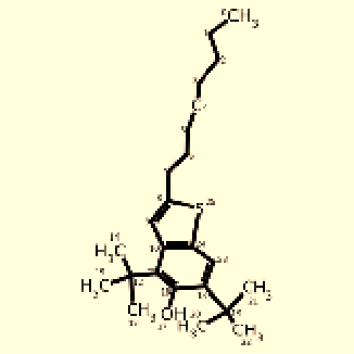 CCCCCCCCc1cc2c(C(C)(C)C)c(O)c(C(C)(C)C)cc2s1